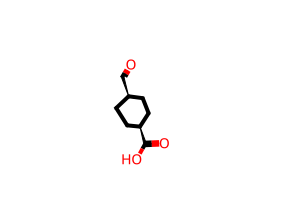 O=C[C@H]1CC[C@@H](C(=O)O)CC1